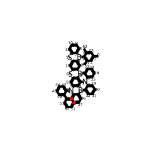 Cc1cc(C)c(B2c3ccccc3Sc3cc4c(cc32)B2c3ccccc3N3c5ccccc5B5c6ccccc6N(c6ccccc6-c6ccccc6)c6cc(c2c3c65)S4)c(C)c1